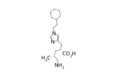 C[C@@H](CN)C[C@H](Cc1cn(CCC2CCCCC2)cn1)C(=O)O